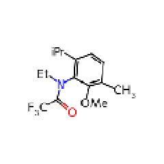 CCN(C(=O)C(F)(F)F)c1c(C(C)C)ccc(C)c1OC